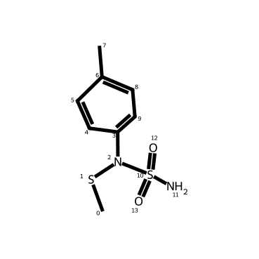 CSN(c1ccc(C)cc1)S(N)(=O)=O